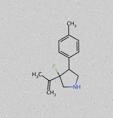 C=C(C)C1(F)CNCC1c1ccc(C)cc1